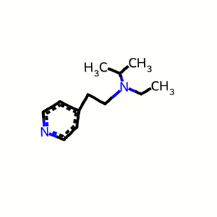 CCN(CCc1ccncc1)C(C)C